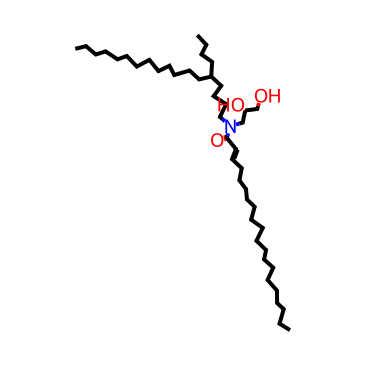 CCCCCCCCCCCCCCCCCC=CC(=O)N(CCCCC(CCCC)CCCCCCCCCCCCC)CC(O)CO